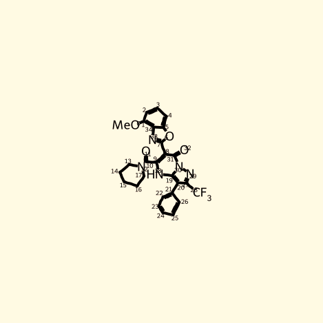 COc1cccc2oc(-c3c(C(=O)N4CCCCC4)[nH]c4c(-c5ccccc5)c(C(F)(F)F)nn4c3=O)nc12